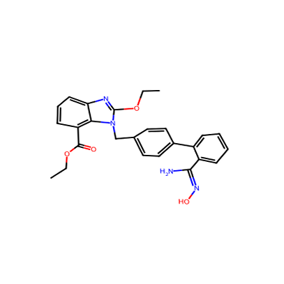 CCOC(=O)c1cccc2nc(OCC)n(Cc3ccc(-c4ccccc4/C(N)=N/O)cc3)c12